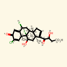 C[C@]12C=C(Cl)C(=O)C=C1C(F)C[C@H]1[C@@H]3CC=C(C(=O)C(O)CC(=O)O)[C@@]3(C)CC(O)[C@@]12F